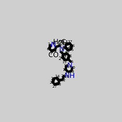 C=C(c1cc(C(=O)O)ccn1)N(Cc1ccc(CN2CCC(NCCc3ccccc3)CC2)cc1)c1ccccc1C